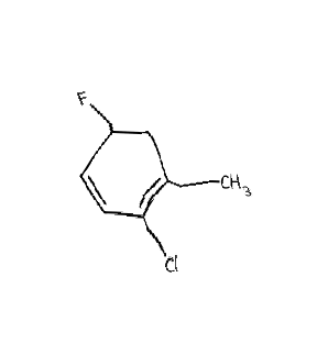 CC1=C(Cl)C=CC(F)C1